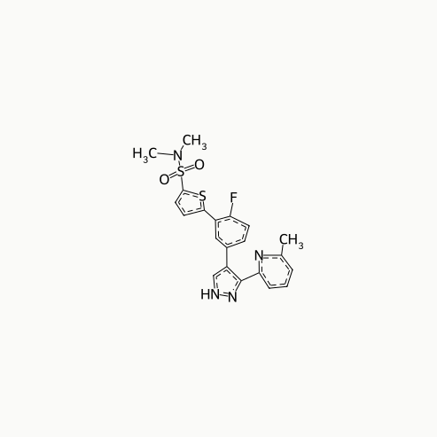 Cc1cccc(-c2n[nH]cc2-c2ccc(F)c(-c3ccc(S(=O)(=O)N(C)C)s3)c2)n1